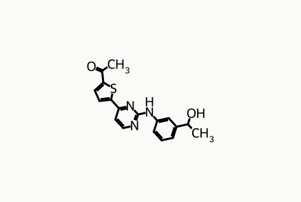 CC(=O)c1ccc(-c2ccnc(Nc3cccc(C(C)O)c3)n2)s1